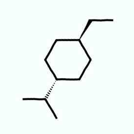 CC[C@H]1CC[C@H](C(C)C)CC1